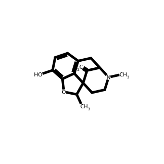 C=C1C2Cc3ccc(O)c4c3C1(CCN2C)C(C)O4